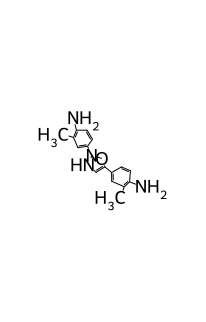 Cc1cc(C2=CNN(c3ccc(N)c(C)c3)O2)ccc1N